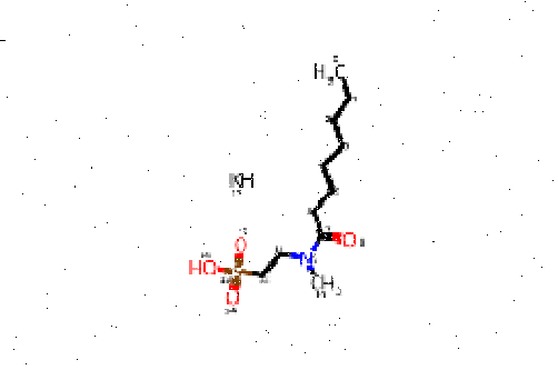 CCCCCCCC(=O)N(C)CCS(=O)(=O)O.[KH]